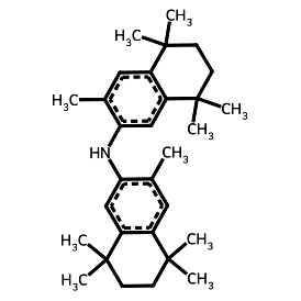 Cc1cc2c(cc1Nc1cc3c(cc1C)C(C)(C)CCC3(C)C)C(C)(C)CCC2(C)C